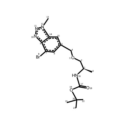 C[C@H](COCc1cc(Br)c2nnn(C)c2c1)NC(=O)OC(C)(C)C